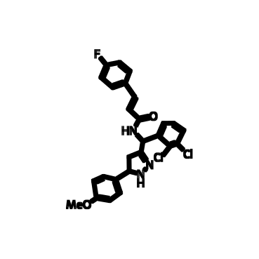 COc1ccc(C2CC(C(NC(=O)C=Cc3ccc(F)cc3)c3cccc(Cl)c3Cl)=NN2)cc1